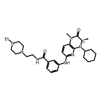 CCN1CCN(CCNC(=O)c2cccc(Nc3ccc4c(n3)N(C3CCCCC3)[C@H](C)C(=O)N4C)c2)CC1